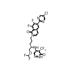 O=c1[nH]ncc(N[C@H](CCCn2ccc3cc(-c4ncc(Cl)cn4)c(F)c(F)c3c2=O)COC(F)F)c1C(F)(F)F